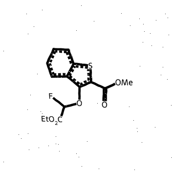 CCOC(=O)C(F)Oc1c(C(=O)OC)sc2ccccc12